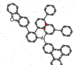 c1ccc(-c2ccc(-c3c(-c4ccc5c(c4)oc4ccccc45)cccc3N(c3cccc(-c4ccccc4)c3)c3ccc4c5ccccc5c5ccccc5c4c3)cc2)cc1